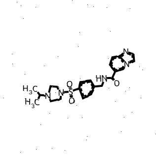 CC(C)N1CCN(S(=O)(=O)c2ccc(CNC(=O)c3ccc4nccn4c3)cc2)CC1